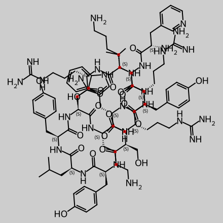 CC(C)C[C@H](NC(=O)[C@H](Cc1ccc(O)cc1)NC(=O)[C@H](CO)NC(=O)[C@H](Cc1c[nH]c2ccccc12)NC(=O)[C@H](Cc1ccc(O)cc1)NC(=O)[C@H](CC(C)C)NC(=O)[C@@H](N)Cc1cccnc1)C(=O)N[C@@H](Cc1ccc(O)cc1)C(=O)N[C@@H](CC(N)=O)C(=O)N[C@@H](CCCCN)C(=O)N[C@@H](CCCNC(=N)N)C(=O)N[C@@H](CCCNC(=N)N)C(=O)N[C@@H](CCCCN)C(=O)N[C@@H](CCCNC(=N)N)C(=O)O